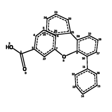 O=C(O)c1cccc(Oc2c(-c3ccccc3)cccc2-c2ccccc2)c1